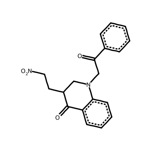 O=C(CN1CC(CC[N+](=O)[O-])C(=O)c2ccccc21)c1ccccc1